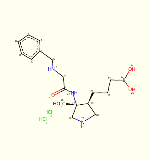 Cl.Cl.O=C(CNCc1ccccc1)N[C@@]1(C(=O)O)CNC[C@@H]1CCCB(O)O